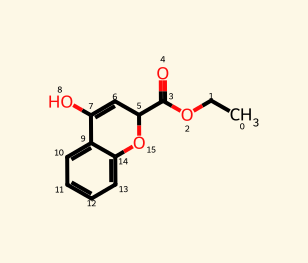 CCOC(=O)C1C=C(O)c2ccccc2O1